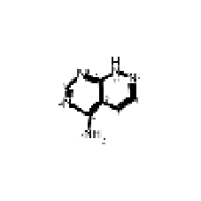 Nc1ncnc2c1C=C=NN2